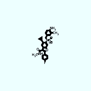 CNC(=O)c1c(-c2ccc(F)cc2)oc2cc(N(Cc3ccc(N)c(C)c3)[SH](=O)=O)c(C3CC3)cc12